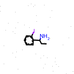 CCC(N)c1ccccc1I